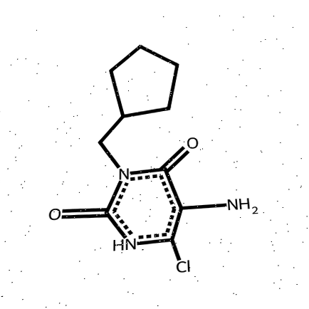 Nc1c(Cl)[nH]c(=O)n(CC2CCCC2)c1=O